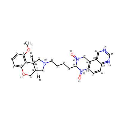 COc1cccc2c1[C@@H]1CN(CCCCC3[N+](=O)Cc4c(ccc5ncncc45)[N+]3=O)C[C@H]1CO2